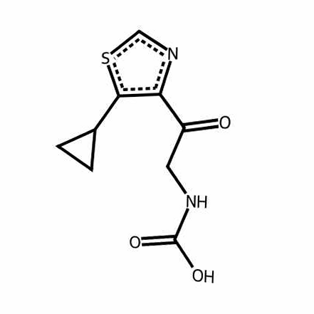 O=C(O)NCC(=O)c1ncsc1C1CC1